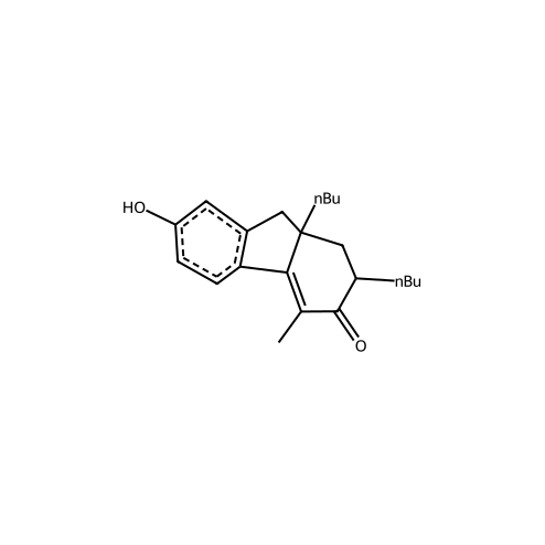 CCCCC1CC2(CCCC)Cc3cc(O)ccc3C2=C(C)C1=O